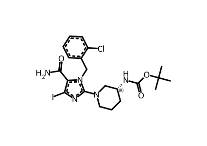 CC(C)(C)OC(=O)N[C@@H]1CCCN(c2nc(I)c(C(N)=O)n2Cc2ccccc2Cl)C1